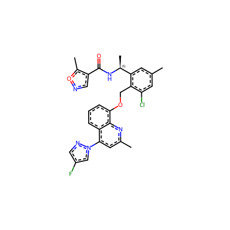 Cc1cc(Cl)c(COc2cccc3c(-n4cc(F)cn4)cc(C)nc23)c([C@H](C)NC(=O)c2cnoc2C)c1